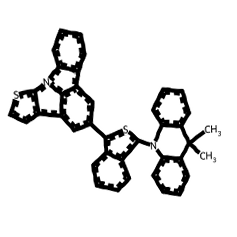 CC1(C)c2ccccc2N(c2sc(-c3cc4c5ccccc5n5c6sccc6c(c3)c45)c3ccccc23)c2ccccc21